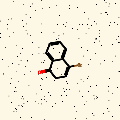 O=C1CC=C(Br)c2ccccc21